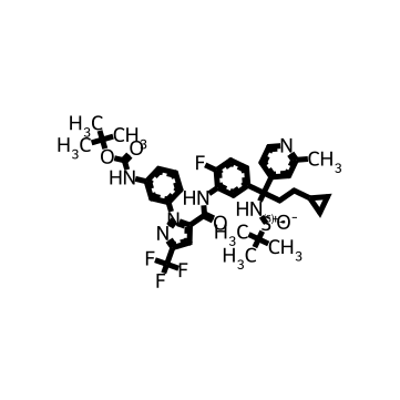 Cc1cc(C(CCC2CC2)(N[S@+]([O-])C(C)(C)C)c2ccc(F)c(NC(=O)c3cc(C(F)(F)F)nn3-c3cccc(NC(=O)OC(C)(C)C)c3)c2)ccn1